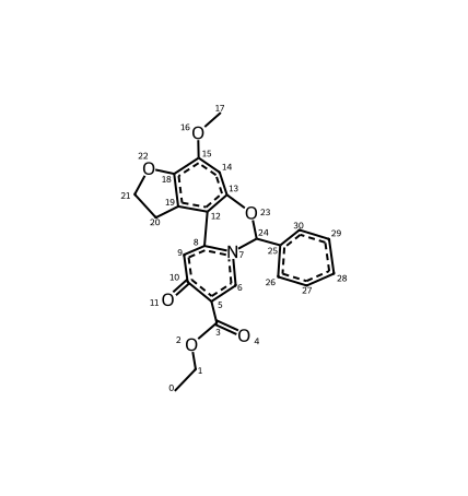 CCOC(=O)c1cn2c(cc1=O)-c1c(cc(OC)c3c1CCO3)OC2c1ccccc1